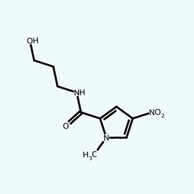 Cn1cc([N+](=O)[O-])cc1C(=O)NCCCO